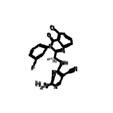 C[C@@H](Nc1nc(N)ncc1C#N)c1nc2cccc(Cl)c2c(=O)n1-c1cccc(F)c1